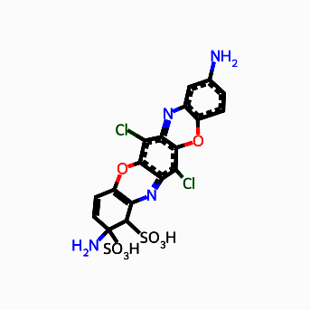 Nc1ccc2c(c1)N=c1c(Cl)c3c(c(Cl)c1O2)=NC1=C(C=CC(N)(S(=O)(=O)O)C1S(=O)(=O)O)O3